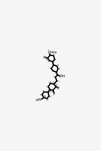 CCCCCCC1CCC(C2CCC(C(O)CCC3CCC(C4CCC(CCC)CC4)C(F)C3F)CC2)CC1F